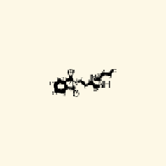 CCCc1nc(CCN2C(=O)c3ccccc3C2=O)c[nH]1